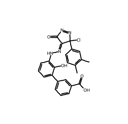 Cc1ccc(C2(Cl)N=NC(=O)C2=NNc2cccc(-c3cccc(C(=O)O)c3)c2O)cc1C